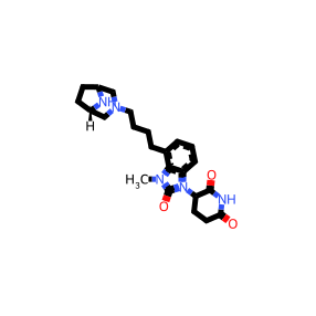 Cn1c(=O)n(C2CCC(=O)NC2=O)c2cccc(CCCCN3CC4CC[C@@H](C3)N4)c21